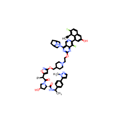 C#Cc1c(F)ccc2cc(O)cc(-c3ncc4c(N5CC6CCC(C5)N6)nc(OCCN5CCC(COc6cc(C(C(=O)N7C[C@H](O)C[C@H]7C(=O)NC(C)c7ccc(-c8ccnn8C)cc7)C(C)C)on6)CC5)nc4c3F)c12